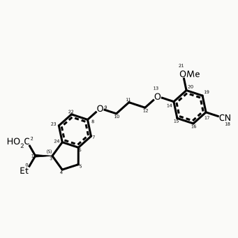 CCC(C(=O)O)[C@@H]1CCc2cc(OCCCOc3ccc(C#N)cc3OC)ccc21